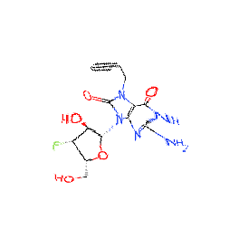 C#CCn1c(=O)n([C@@H]2O[C@H](CO)[C@H](F)[C@H]2O)c2nc(N)[nH]c(=O)c21